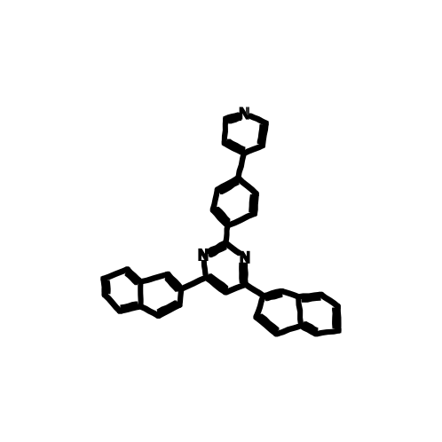 c1ccc2cc(-c3cc(-c4ccc5ccccc5c4)nc(-c4ccc(-c5ccncc5)cc4)n3)ccc2c1